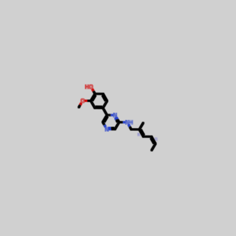 C/C=C\C=C(/C)CNc1cncc(-c2ccc(O)c(OC)c2)n1